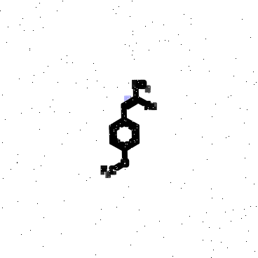 CC(=O)/C(=C\c1ccc(OC(F)(F)F)cc1)[N+](=O)[O-]